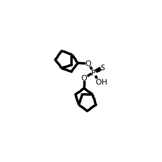 OP(=S)(OC1CC2CCC1C2)OC1CC2CCC1C2